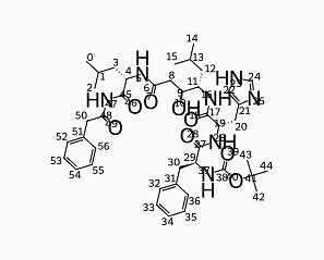 CC(C)C[C@H](NC(=O)C[C@H](O)[C@H](CC(C)C)NC(=O)[C@H](Cc1c[nH]cn1)NC(=O)[C@H](Cc1ccccc1)NC(=O)OC(C)(C)C)C(=O)NC(=O)Cc1ccccc1